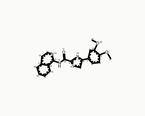 COc1ccc(-c2csc(C(=O)Nc3nccc4ccccc34)n2)cc1OC